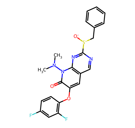 CN(C)n1c(=O)c(Oc2ccc(F)cc2F)cc2cnc([S+]([O-])Cc3ccccc3)nc21